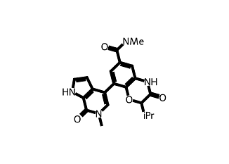 CNC(=O)c1cc2c(c(-c3cn(C)c(=O)c4[nH]ccc34)c1)OC(C(C)C)C(=O)N2